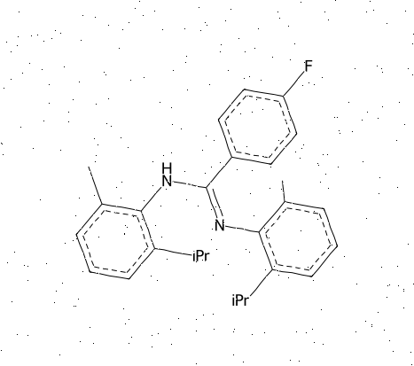 Cc1cccc(C(C)C)c1/N=C(/Nc1c(C)cccc1C(C)C)c1ccc(F)cc1